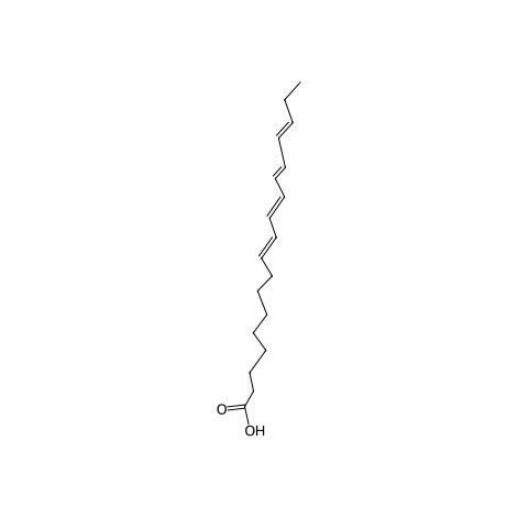 CCC=CC=CC=C/C=C/CCCCCCCC(=O)O